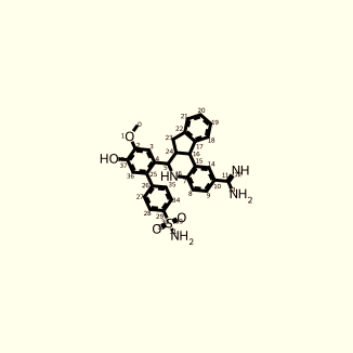 COc1cc(C2Nc3ccc(C(=N)N)cc3C3c4ccccc4CC23)c(-c2ccc(S(N)(=O)=O)cc2)cc1O